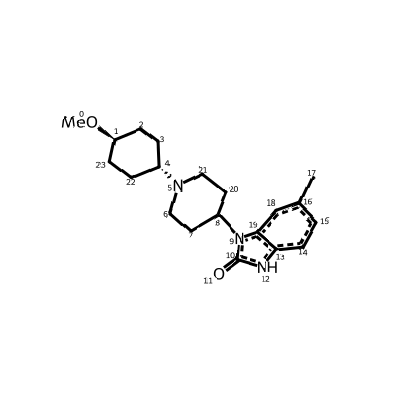 CO[C@H]1CC[C@H](N2CCC(n3c(=O)[nH]c4ccc(C)cc43)CC2)CC1